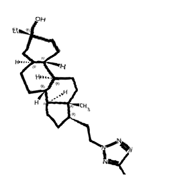 CC[C@@]1(O)CC[C@H]2[C@@H](CC[C@@H]3[C@@H]2CC[C@]2(C)[C@@H](CCn4nnc(C)n4)CC[C@@H]32)C1